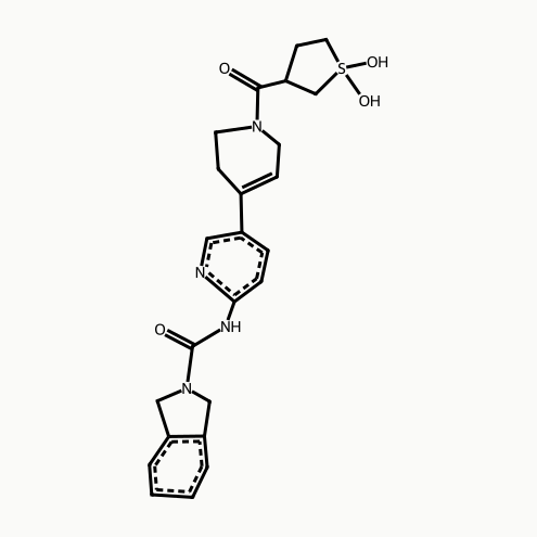 O=C(Nc1ccc(C2=CCN(C(=O)C3CCS(O)(O)C3)CC2)cn1)N1Cc2ccccc2C1